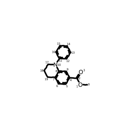 COC(=O)c1ccc2c(c1)N(c1ccccc1)CCC2